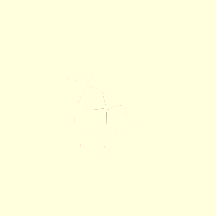 CC[Si](CC)(CC)C[Si](Cl)(C[Si](CC)(CC)CC)C[Si](CC)(CC)CC